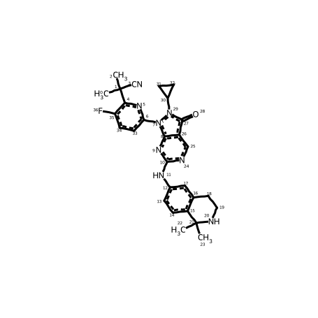 CC(C)(C#N)c1nc(-n2c3nc(Nc4ccc5c(c4)CCNC5(C)C)ncc3c(=O)n2C2CC2)ccc1F